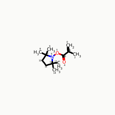 C=C(C)C(=O)ON1C(C)(C)CCC1(C)C